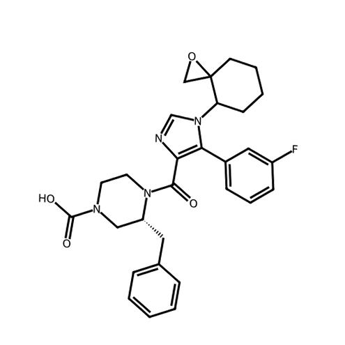 O=C(O)N1CCN(C(=O)c2ncn(C3CCCCC34CO4)c2-c2cccc(F)c2)[C@H](Cc2ccccc2)C1